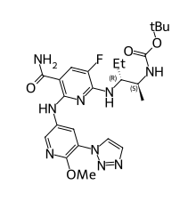 CC[C@@H](Nc1nc(Nc2cnc(OC)c(-n3ccnn3)c2)c(C(N)=O)cc1F)[C@H](C)NC(=O)OC(C)(C)C